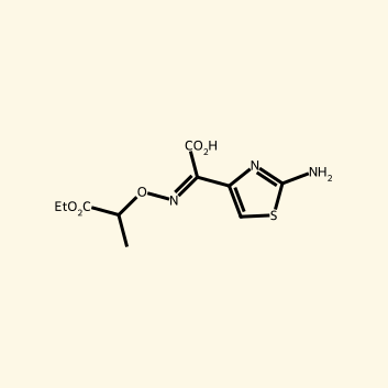 CCOC(=O)C(C)ON=C(C(=O)O)c1csc(N)n1